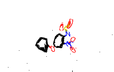 O=[N+]([O-])c1cc(Oc2ccccc2)ccc1N=S(=O)=O